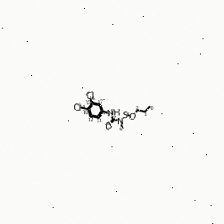 CCCOSN(C)C(=O)Nc1ccc(Cl)c(Cl)c1